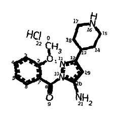 COc1ccccc1C(=O)n1nc(C2CCNCC2)cc1N.Cl